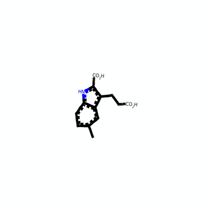 Cc1ccc2[nH]c(C(=O)O)c(CCC(=O)O)c2c1